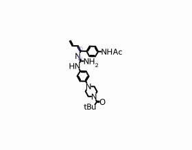 C=C/C=C(\N=C(/N)Nc1ccc(N2CCN(C(=O)C(C)(C)C)CC2)cc1)c1ccc(NC(C)=O)cc1